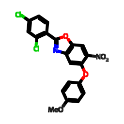 COc1ccc(Oc2cc3nc(-c4ccc(Cl)cc4Cl)oc3cc2[N+](=O)[O-])cc1